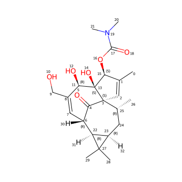 CC1=C[C@]23C(=O)[C@@H](C=C(CO)[C@@H](O)[C@]2(O)[C@H]1OC(=O)N(C)C)[C@H]1[C@@H](C[C@H]3C)C1(C)C